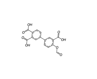 O=COc1ccc(-c2ccc(C(=O)O)c(C(=O)O)c2)cc1C(=O)O